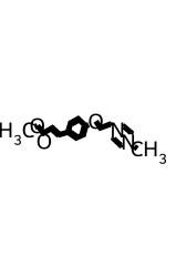 COC(=O)/C=C/c1ccc(OCCN2CCN(C)CC2)cc1